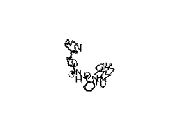 O=C(NCC(=O)C1CCCCC1N1C[C@H](Cl)[C@H]2OCC(=O)[C@H]21)c1ccc(-c2cncnc2)o1